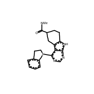 CNC(=O)C1CCc2[nH]c3ncnc(N4CCc5ccccc54)c3c2C1